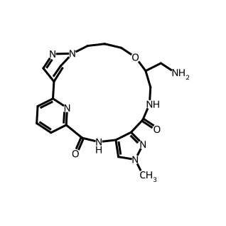 Cn1cc2c(n1)C(=O)NCC(CN)OCCCn1cc(cn1)-c1cccc(n1)C(=O)N2